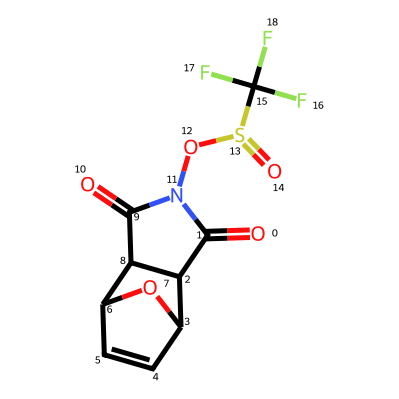 O=C1C2C3C=CC(O3)C2C(=O)N1OS(=O)C(F)(F)F